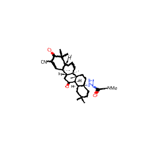 [C-]#[N+]C1=C[C@]2(C)[C@H]3CC(=O)[C@@H]4[C@@H]5CC(C)(C)CC[C@]5(NC(=O)NC)CC[C@@]4(C)[C@]3(C)CC[C@H]2C(C)(C)C1=O